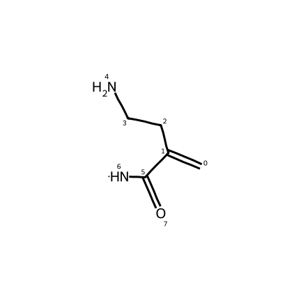 C=C(CCN)C([NH])=O